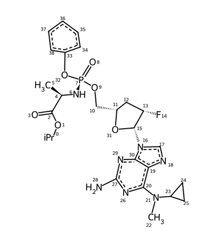 CC(C)OC(=O)[C@@H](C)N[P@@](=O)(OC[C@@H]1C[C@H](F)[C@H](n2cnc3c(N(C)C4CC4)nc(N)nc32)O1)Oc1ccccc1